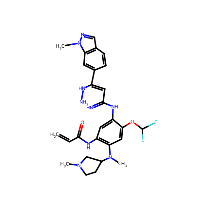 C=CC(=O)Nc1cc(NC(=N)/C=C(\NN)c2ccc3cnn(C)c3c2)c(OC(F)F)cc1N(C)C1CCN(C)C1